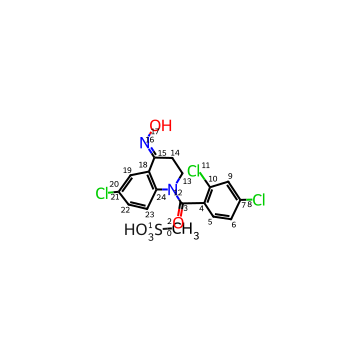 CS(=O)(=O)O.O=C(c1ccc(Cl)cc1Cl)N1CCC(=NO)c2cc(Cl)ccc21